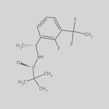 C[C@@H](N[S@+]([O-])C(C)(C)C)c1cccc(C(C)(F)F)c1F